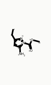 CCc1cc(N)n(C(=O)OC)n1